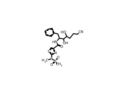 CN(c1nc(C(=O)NC(Cc2ccccc2)C(O)C(O)CCCC#N)cs1)S(C)(=O)=O